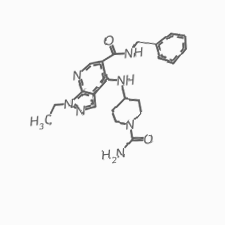 CCn1ncc2c(NC3CCN(C(N)=O)CC3)c(C(=O)NCc3ccccc3)cnc21